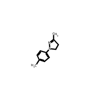 CC1=NN(c2ccc(C)cc2)CC1